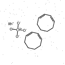 C1=C\CCCC\C=C/1.C1=C\CCCC\C=C/1.[O-][Cl+3]([O-])([O-])[O-].[Rh+]